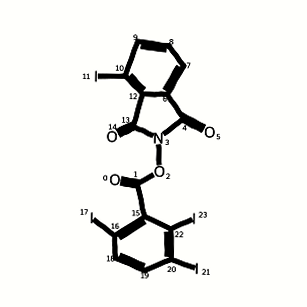 O=C(ON1C(=O)c2cccc(I)c2C1=O)c1c(I)ccc(I)c1I